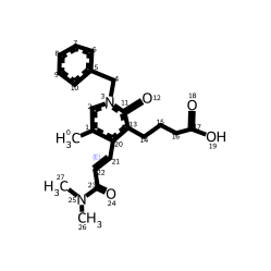 Cc1cn(Cc2ccccc2)c(=O)c(CCCC(=O)O)c1/C=C/C(=O)N(C)C